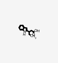 CCC(CC(=O)O)c1cc2ccccc2[nH]1